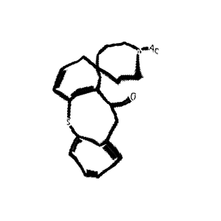 CC(=O)N1CCC2(CC=CC3=C2C(=O)Cc2ccccc2S3)CC1